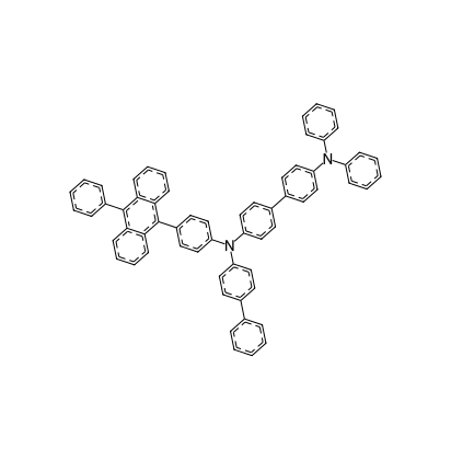 c1ccc(-c2ccc(N(c3ccc(-c4ccc(N(c5ccccc5)c5ccccc5)cc4)cc3)c3ccc(-c4c5ccccc5c(-c5ccccc5)c5ccccc45)cc3)cc2)cc1